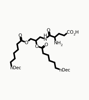 CCCCCCCCCCCCCCCC(=O)OCC(CNC(=O)C(N)CCC(=O)O)OC(=O)CCCCCCCCCCCCCCC